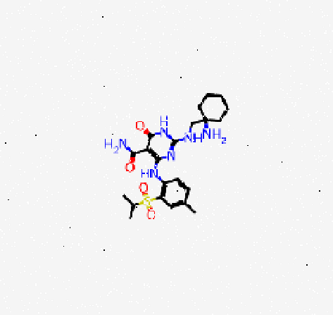 Cc1ccc(Nc2nc(NCC3(N)CCCCC3)[nH]c(=O)c2C(N)=O)c(S(=O)(=O)C(C)C)c1